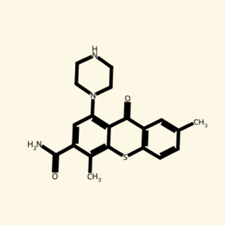 Cc1ccc2sc3c(C)c(C(N)=O)cc(N4CCNCC4)c3c(=O)c2c1